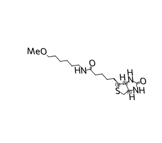 COCCCCCCNC(=O)CCCC[C@@H]1SC[C@@H]2NC(=O)N[C@@H]21